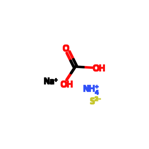 O=C(O)O.[NH4+].[Na+].[S-2]